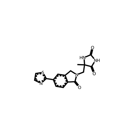 CC1(CN2Cc3cc(-c4nccs4)ccc3C2=O)NC(=O)NC1=O